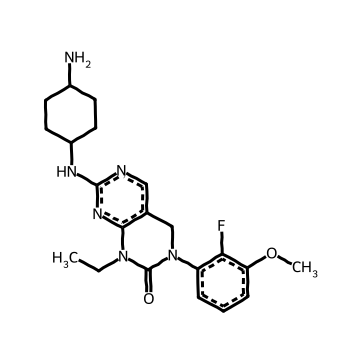 CCN1C(=O)N(c2cccc(OC)c2F)Cc2cnc(NC3CCC(N)CC3)nc21